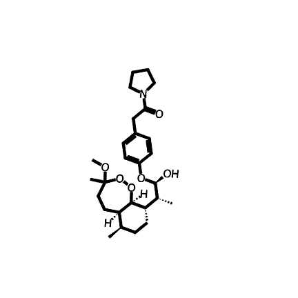 COC1(C)CC[C@H]2[C@@H](OO1)[C@H]([C@@H](C)[C@H](O)Oc1ccc(CC(=O)N3CCCC3)cc1)CC[C@H]2C